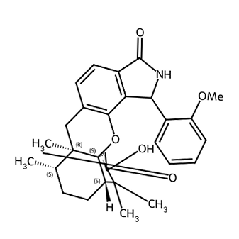 COc1ccccc1C1NC(=O)c2ccc3c(c21)O[C@@]12CC(O)C(=O)C(C)(C)[C@@H]1CC[C@H](C)[C@@]2(C)C3